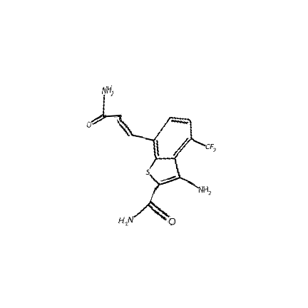 NC(=O)C=Cc1ccc(C(F)(F)F)c2c(N)c(C(N)=O)sc12